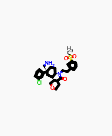 CS(=O)(=O)c1cccc(CCN(C(=O)C2CCOCC2)[C@H]2CC[C@](CN)(c3cccc(Cl)c3)CC2)c1